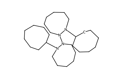 C1CCCC(N2CCCCCCN2N2CCCCCCN2C2CCCCCCC2)CCC1